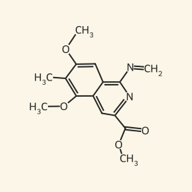 C=Nc1nc(C(=O)OC)cc2c(OC)c(C)c(OC)cc12